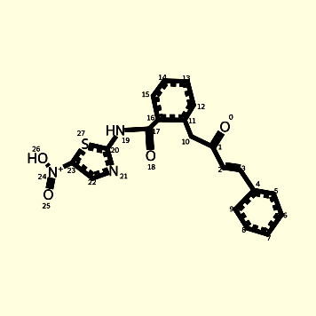 O=C(/C=C/c1ccccc1)Cc1ccccc1C(=O)Nc1ncc([N+](=O)O)s1